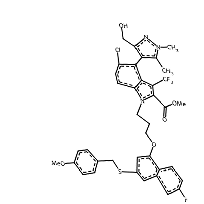 COC(=O)c1c(C(F)(F)F)c2c(-c3c(CO)nn(C)c3C)c(Cl)ccc2n1CCCOc1cc(SCc2ccc(OC)cc2)cc2cc(F)ccc12